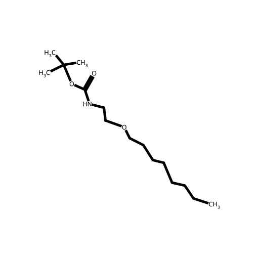 CCCCCCCCOCCNC(=O)OC(C)(C)C